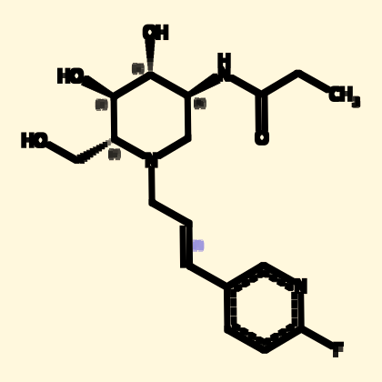 CCC(=O)N[C@H]1CN(C/C=C/c2ccc(F)nc2)[C@H](CO)[C@@H](O)[C@@H]1O